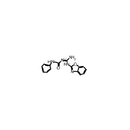 N/C(=N/C(=O)Nc1ccccc1)Nc1nc2ccccc2o1